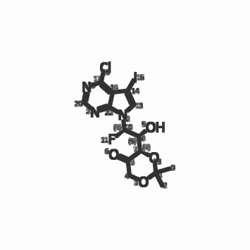 CC1(C)OCC(=O)[C@@H]([C@H](O)[C@@H](F)n2cc(I)c3c(Cl)ncnc32)O1